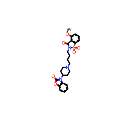 CC(C)Oc1cccc2c1C(=O)N(CCCCN1CCC(n3c(=O)oc4ccccc43)CC1)S2(=O)=O